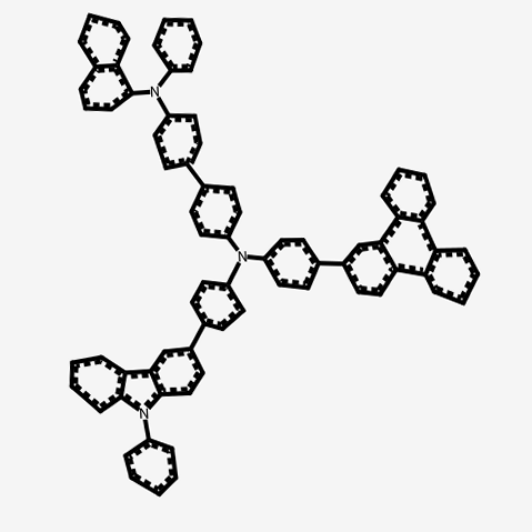 c1ccc(N(c2ccc(-c3ccc(N(c4ccc(-c5ccc6c7ccccc7c7ccccc7c6c5)cc4)c4ccc(-c5ccc6c(c5)c5ccccc5n6-c5ccccc5)cc4)cc3)cc2)c2cccc3ccccc23)cc1